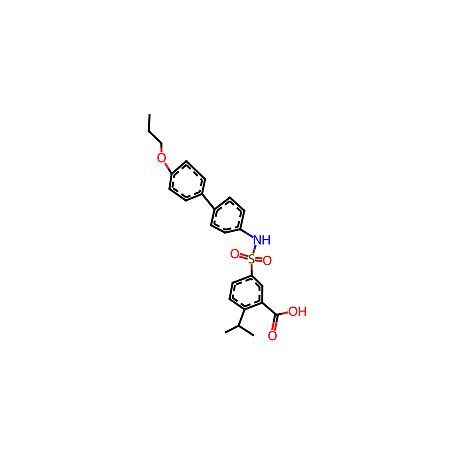 CCCOc1ccc(-c2ccc(NS(=O)(=O)c3ccc(C(C)C)c(C(=O)O)c3)cc2)cc1